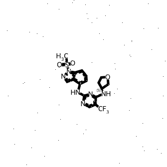 CS(=O)(=O)n1ncc2c(Nc3ncc(C(F)(F)F)c(N[C@H]4CCOC4)n3)cccc21